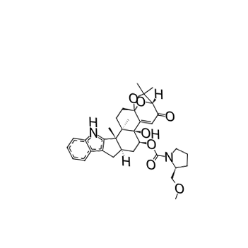 COC[C@@H]1CCCN1C(=O)O[C@H]1C[C@H]2Cc3c([nH]c4ccccc34)[C@]2(C)[C@@]2(C)CC[C@@]34O[C@@H](C(=O)C=C3[C@]12O)C(C)(C)O4